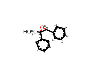 O=C(O)C1(c2ccccc2)OC1c1ccccc1